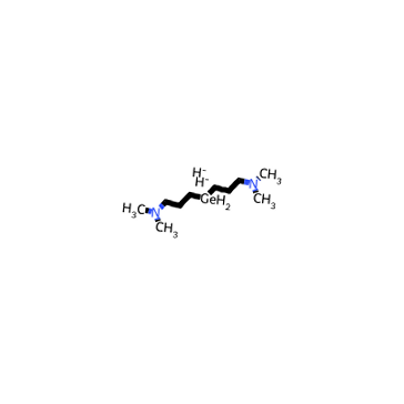 CN(C)CC[CH2][GeH2][CH2]CCN(C)C.[H-].[H-]